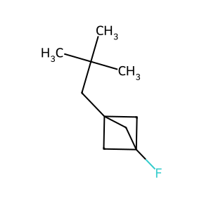 CC(C)(C)CC12CC(F)(C1)C2